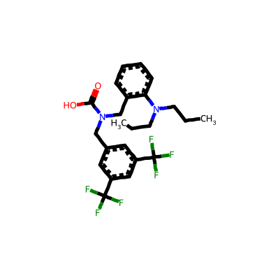 CCCN(CCC)c1ccccc1CN(Cc1cc(C(F)(F)F)cc(C(F)(F)F)c1)C(=O)O